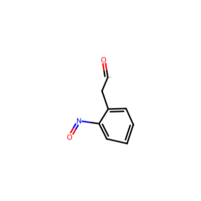 O=[C]Cc1ccccc1N=O